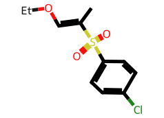 CCO/C=C(\C)S(=O)(=O)c1ccc(Cl)cc1